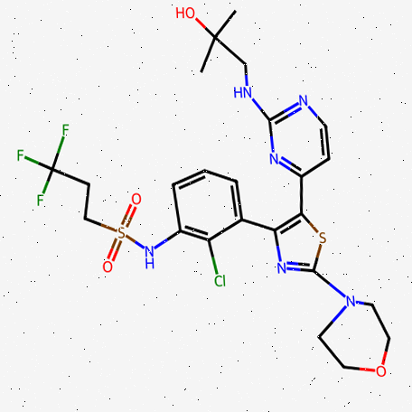 CC(C)(O)CNc1nccc(-c2sc(N3CCOCC3)nc2-c2cccc(NS(=O)(=O)CCC(F)(F)F)c2Cl)n1